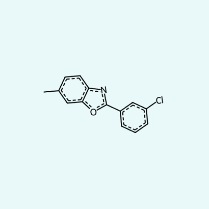 Cc1ccc2nc(-c3cccc(Cl)c3)oc2c1